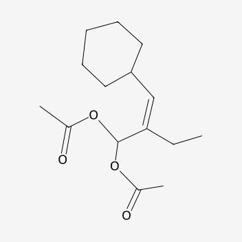 CCC(=CC1CCCCC1)C(OC(C)=O)OC(C)=O